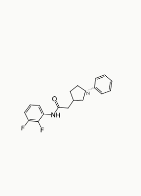 O=C(CC1CC[C@H](c2ccccc2)C1)Nc1cccc(F)c1F